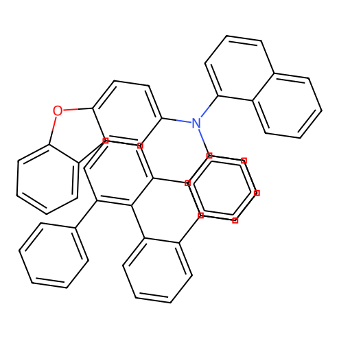 c1ccc(-c2ccccc2-c2c(-c3ccccc3)cccc2-c2ccccc2N(c2ccc3oc4ccccc4c3c2)c2cccc3ccccc23)cc1